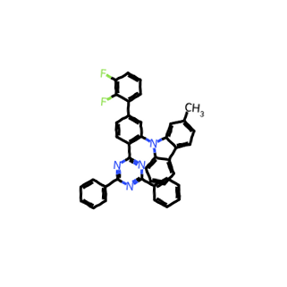 Cc1ccc2c3ccccc3n(-c3cc(-c4cccc(F)c4F)ccc3-c3nc(-c4ccccc4)nc(-c4ccccc4)n3)c2c1